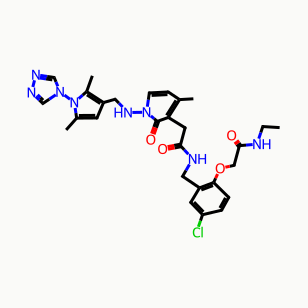 CCNC(=O)COc1ccc(Cl)cc1CNC(=O)Cc1c(C)ccn(NCc2cc(C)n(-n3cnnc3)c2C)c1=O